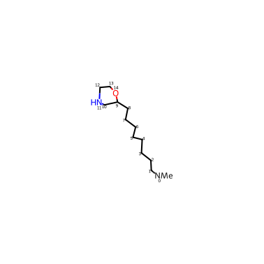 CNCCCCCCCCC1CNCCO1